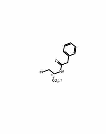 CCOC(=O)[C@H](CC(C)C)NC(=O)Cc1ccccc1